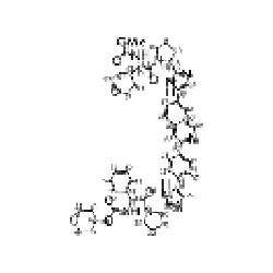 COC(=O)N[C@H](C(=O)N1CCC[C@H]1c1ncc(-c2ccc3cc(-c4ccc(-c5cnc([C@@H]6CCCN6C(=O)[C@H](NC(=O)OC6CCOCC6)c6ccccc6)[nH]5)c(F)c4)ncc3c2)[nH]1)C1CCOCC1